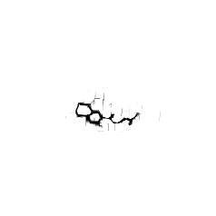 C=C(Cc1cc(C(=O)O)cs1)c1cc2c(cc1C)C(C)(C)CCC2(C)C